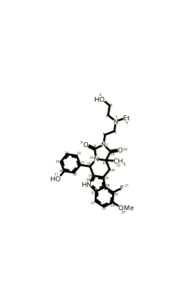 CCN(CCO)CCN1C(=O)N2C(c3cccc(O)c3)c3[nH]c4ccc(OC)c(F)c4c3CC2(C)C1=O